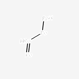 [Po]=[PoH][Po][PoH]